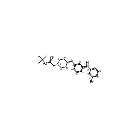 CC(C)(C)OC(=O)CN1CCN(Cc2cccc(Nc3cc(Br)ccn3)c2)CC1